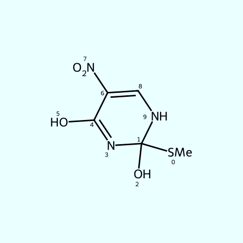 CSC1(O)N=C(O)C([N+](=O)[O-])=CN1